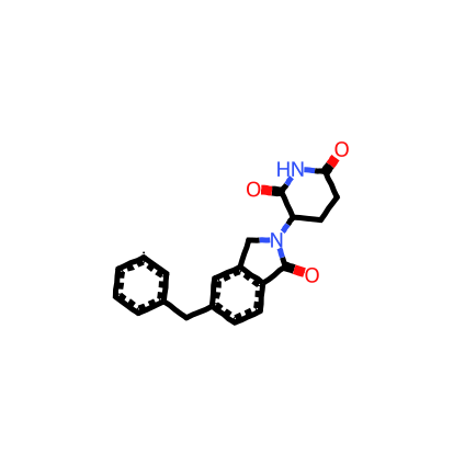 O=C1CCC(N2Cc3cc(Cc4c[c]ccc4)ccc3C2=O)C(=O)N1